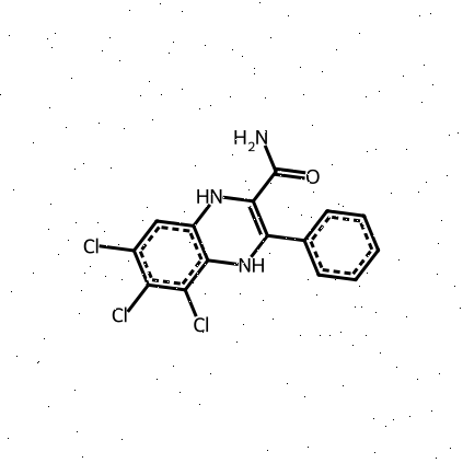 NC(=O)C1=C(c2ccccc2)Nc2c(cc(Cl)c(Cl)c2Cl)N1